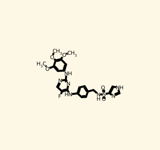 COc1cc(Nc2ncc(F)c(Nc3ccc(CNS(=O)(=O)c4c[nH]cn4)cc3)n2)cc(OC)c1OC